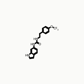 O=C(NCCc1ccc(OC(F)(F)F)cc1)Nc1ccc2cc[nH]c2c1